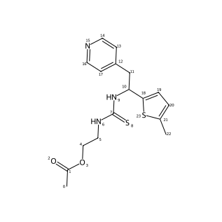 CC(=O)OCCNC(=S)NC(Cc1ccncc1)c1ccc(C)s1